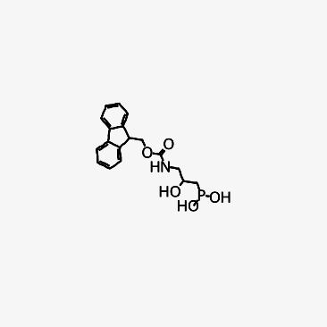 O=C(NCC(O)CP(O)O)OCC1c2ccccc2-c2ccccc21